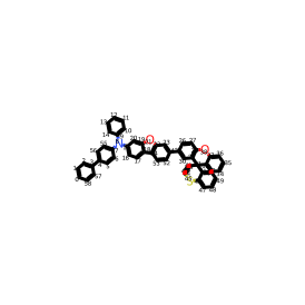 c1ccc(-c2ccc(N(c3ccccc3)c3ccc4c(c3)oc3cc(-c5ccc6c(c5)C5(c7ccccc7O6)c6ccccc6Sc6ccccc65)ccc34)cc2)cc1